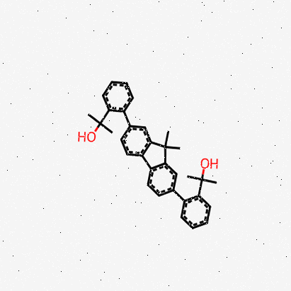 CC(C)(O)c1ccccc1-c1ccc2c(c1)C(C)(C)c1cc(-c3ccccc3C(C)(C)O)ccc1-2